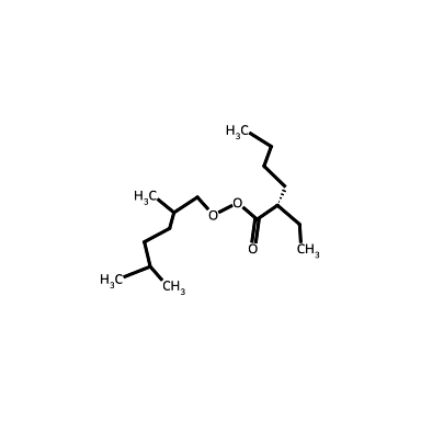 CCCC[C@H](CC)C(=O)OOCC(C)CCC(C)C